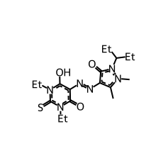 CCC(CC)n1c(=O)c(N=Nc2c(O)n(CC)c(=S)n(CC)c2=O)c(C)n1C